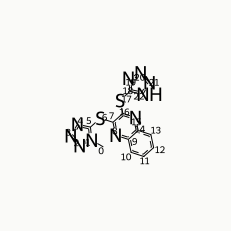 Cn1nnnc1Sc1nc2ccccc2nc1Sc1nnn[nH]1